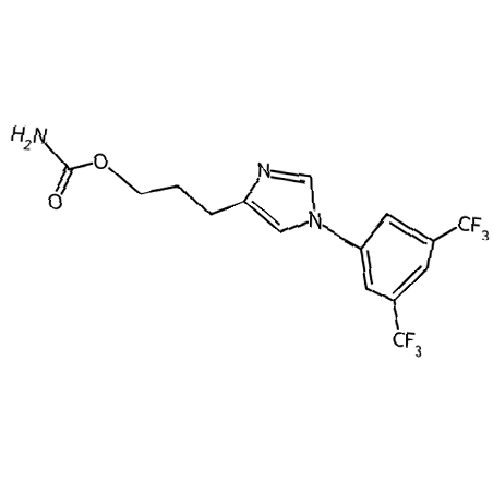 NC(=O)OCCCc1cn(-c2cc(C(F)(F)F)cc(C(F)(F)F)c2)cn1